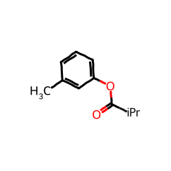 Cc1cccc(OC(=O)C(C)C)c1